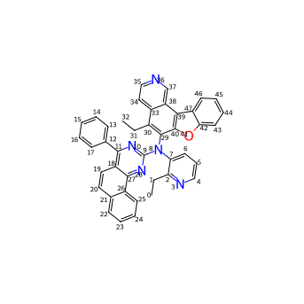 CCc1ncccc1N(c1nc(-c2ccccc2)c2ccc3ccccc3c2n1)c1c(CC)c2ccncc2c2c1oc1ccccc12